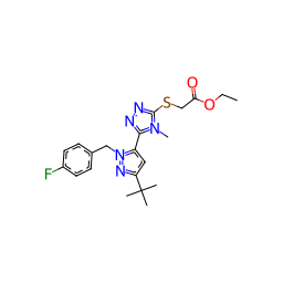 CCOC(=O)CSc1nnc(-c2cc(C(C)(C)C)nn2Cc2ccc(F)cc2)n1C